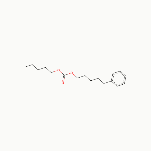 CCCCCOC(=O)OCCCCCc1ccccc1